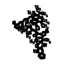 CC[C@H](C)C(C(CC(=O)N1CC2(CC2)C[C@H]1[C@H](OC)[C@@H](C)C(=O)NC(Cc1ccccc1)C(=O)O)OC)N(C)C(=O)[C@@H](NC(=O)[C@H](C(C)C)N(C)C(=O)CCCCCN1C(=O)C=CC1=O)C(C)C